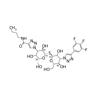 CCCCNC(=O)c1cn(C2C(O)[C@@H](CO)O[C@@H](S[C@@H]3OC(CO)[C@H](O)C(n4cc(-c5cc(F)c(F)c(F)c5)nn4)C3O)[C@@H]2O)nn1